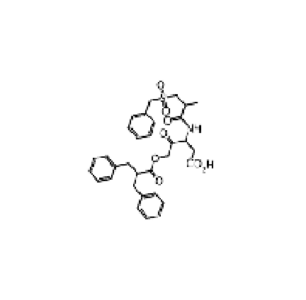 CC(CS(=O)(=O)Cc1ccccc1)C(=O)NC(CC(=O)O)C(=O)COC(=O)C(Cc1ccccc1)Cc1ccccc1